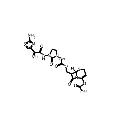 N=C(C(=O)NN1CCN(NC(=O)OCC2C(=O)N3C(OC(=O)O)=CCS[C@@H]23)C1=O)c1csc(N)n1